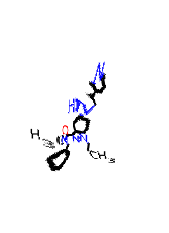 CCCn1nc(C(=O)N(C)Cc2ccccc2)c2c1CCC(NCCc1cccnc1)C2